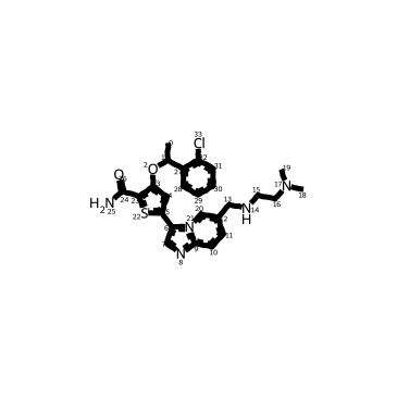 CC(Oc1cc(-c2cnc3ccc(CNCCN(C)C)cn23)sc1C(N)=O)c1ccccc1Cl